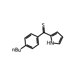 CCCCc1ccc(C(=S)c2ccc[nH]2)cc1